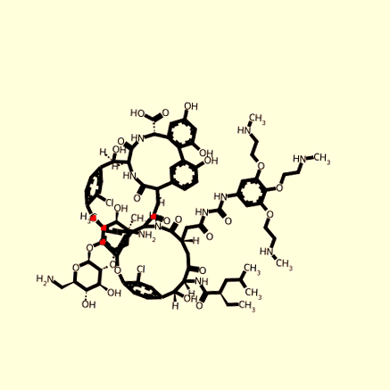 CC[C@H](CC(C)C)C(=O)N[C@H]1C(=O)C[C@@H](CC(=O)NC(=O)Nc2cc(OCCNC)c(OCCNC)c(OCCNC)c2)C(=O)N[C@H]2C(=O)C[C@H]3C(=O)N[C@H](C(=O)N[C@H](C(=O)O)c4cc(O)cc(O)c4-c4cc3ccc4O)[C@H](O)c3ccc(c(Cl)c3)Oc3cc2cc(c3O[C@@H]2O[C@H](CN)[C@@H](O)[C@H](O)[C@H]2O[C@H]2C[C@](C)(N)[C@H](O)[C@H](C)O2)Oc2ccc(cc2Cl)[C@H]1O